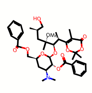 CO[C@](C)(C[C@@H](C)CO)[C@H](O[C@@H]1O[C@H](COC(=O)c2ccccc2)C[C@H](N(C)C)[C@H]1OC(=O)c1ccccc1)[C@@H](C)C1=C(C)C(=O)OC(C)(C)O1